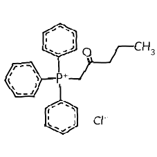 CCCC(=O)C[P+](c1ccccc1)(c1ccccc1)c1ccccc1.[Cl-]